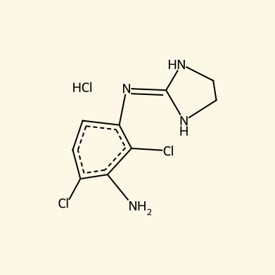 Cl.Nc1c(Cl)ccc(N=C2NCCN2)c1Cl